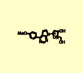 COc1ccc(-c2ncnc3c2ccn3[C@H]2C[C@H](O)[C@@H](CO)O2)cc1